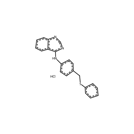 Cl.c1ccc(SCc2ccc(Nc3ncnc4ccccc34)cc2)cc1